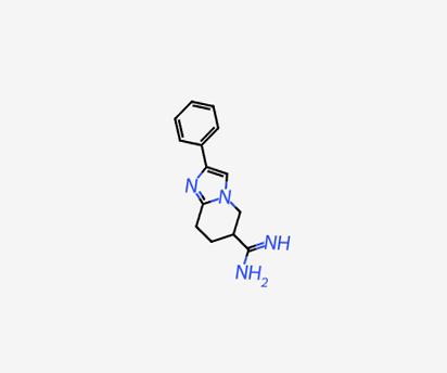 N=C(N)C1CCc2nc(-c3ccccc3)cn2C1